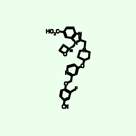 N#Cc1ccc(OCc2cc(OC3CCN(Cc4nc5ccc(C(=O)O)cc5n4C[C@@H]4CCO4)CC3)ccn2)c(F)c1